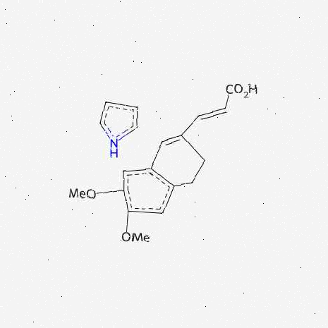 COc1cc2c(cc1OC)CCC(C=CC(=O)O)=C2.c1cc[nH]c1